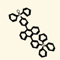 O=P(c1ccccc1)(c1ccccc1)c1ccc(-c2c3ccccc3c(-c3cccc([Si](c4ccccc4)(c4ccccc4)c4ccccc4)c3)c3ccccc23)cc1